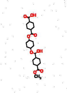 COC(=O)C1CCC(C(O)OC2CCC(OC(=O)C3CCC(C(=O)O)CC3)CC2)CC1